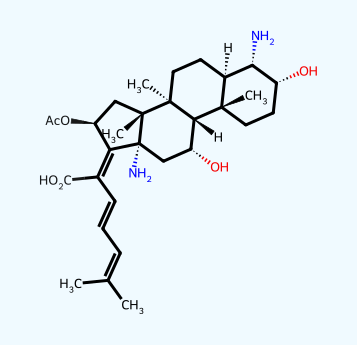 CC(=O)O[C@H]1C[C@@]2(C)[C@@](N)(C[C@@H](O)[C@H]3[C@@]4(C)CC[C@@H](O)[C@@H](N)[C@@H]4CC[C@@]32C)/C1=C(\C=C\C=C(C)C)C(=O)O